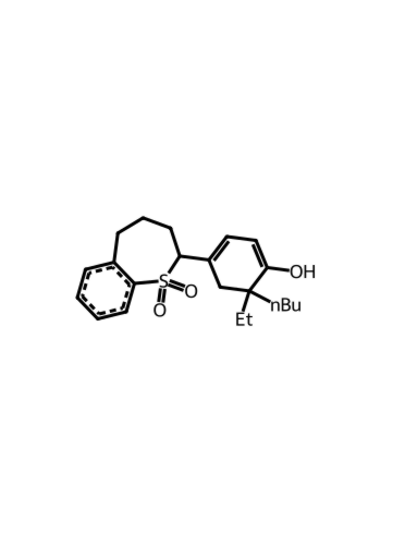 CCCCC1(CC)CC(C2CCCc3ccccc3S2(=O)=O)=CC=C1O